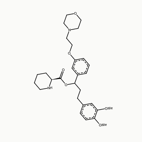 COc1ccc(CCC(OC(=O)[C@@H]2CCCCN2)c2cccc(OCCN3CCOCC3)c2)cc1OC